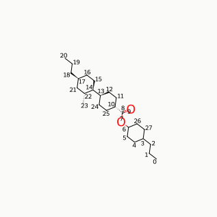 CCCC1CCC(OC(=O)[C@H]2CC[C@H]([C@@H]3CC[C@H](CCC)C[C@H]3C)CC2)CC1